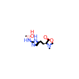 CB(O)Nc1ncc(CC[C@H]2C(=O)OCN2C)[nH]1